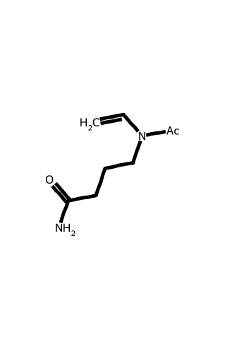 C=CN(CCCC(N)=O)C(C)=O